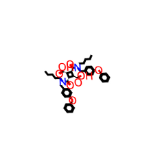 CCCCCN(Cc1ccc(Oc2ccccc2)cc1)C(=O)[C@H]1[C@H](C(=O)O)[C@H](C(=O)N(CCCCC)Cc2ccc(Oc3ccccc3)cc2)[C@H]1C(=O)O